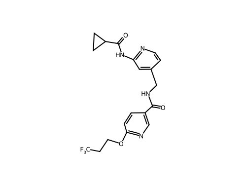 O=C(NCc1ccnc(NC(=O)C2CC2)c1)c1ccc(OCCC(F)(F)F)nc1